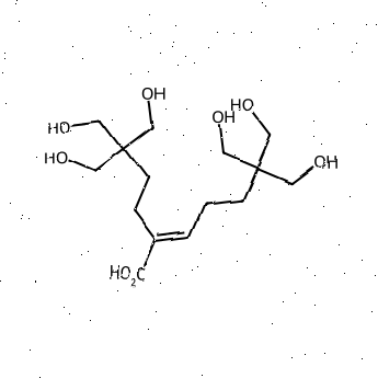 O=C(O)C(=CCCC(CO)(CO)CO)CCC(CO)(CO)CO